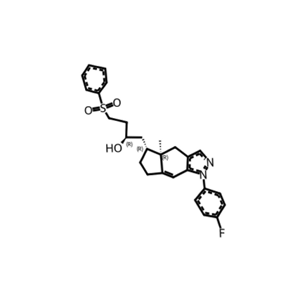 C[C@]12Cc3cnn(-c4ccc(F)cc4)c3C=C1CC[C@@H]2C[C@@H](O)CCS(=O)(=O)c1ccccc1